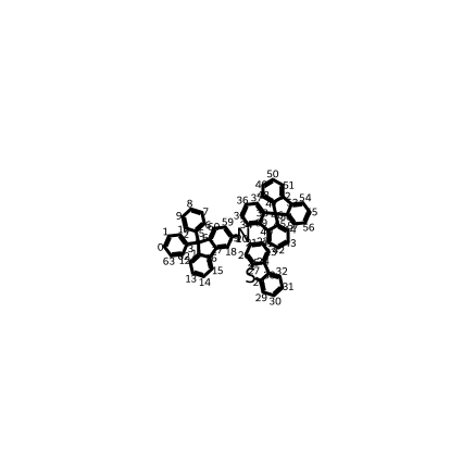 c1ccc(C2(c3ccccc3)c3ccccc3-c3cc(N(c4ccc5c(c4)sc4ccccc45)c4cccc5c4-c4ccccc4C54c5ccccc5-c5ccccc54)ccc32)cc1